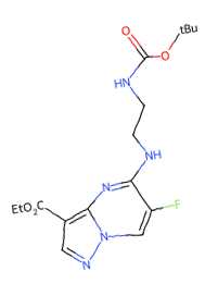 CCOC(=O)c1cnn2cc(F)c(NCCNC(=O)OC(C)(C)C)nc12